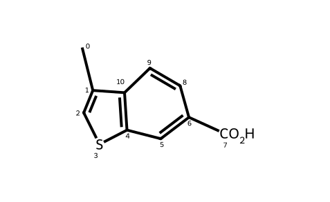 Cc1csc2cc(C(=O)O)ccc12